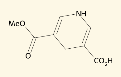 COC(=O)C1=CNC=C(C(=O)O)C1